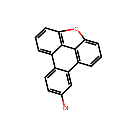 Oc1ccc2c(c1)c1cccc3oc4cccc2c4c31